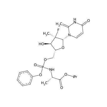 C=C1NC(=O)C=CN1[C@@H]1O[C@H](COP(=O)(N[C@@H](C)C(=O)OC(C)C)Oc2ccccc2)[C@@H](O)[C@@]1(C)F